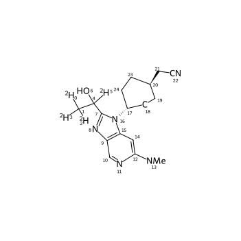 [2H]C([2H])([2H])C([2H])(O)c1nc2cnc(NC)cc2n1[C@H]1CC[C@H](CC#N)CC1